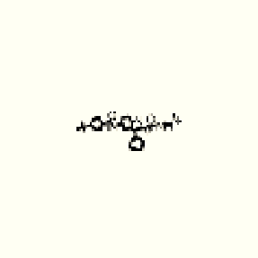 CN(C)CCNC(=O)Oc1[nH]c2ccc(NC(=O)c3ccc(C(C)(C)C)cc3)cc2c1-c1ccccc1